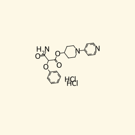 Cl.Cl.NC(=O)C(Oc1ccccc1)C(=O)OC1CCN(c2ccncc2)CC1